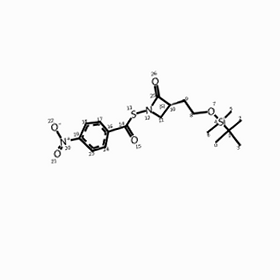 CC(C)(C)[Si](C)(C)OCC[C@H]1CN(SC(=O)c2ccc([N+](=O)[O-])cc2)C1=O